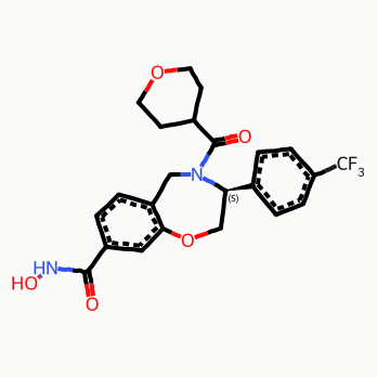 O=C(NO)c1ccc2c(c1)OC[C@H](c1ccc(C(F)(F)F)cc1)N(C(=O)C1CCOCC1)C2